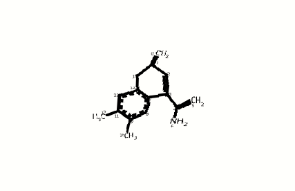 C=C1C=C(C(=C)N)c2cc(C)c(C)cc2C1